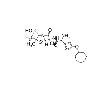 CC1(C)S[C@H]2N(C(=O)[C@]2(C#N)NC(=O)C(N)c2cc(OC3CCCCCC3)cs2)[C@H]1C(=O)O